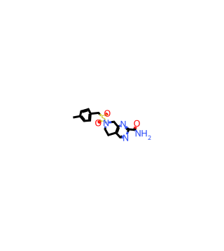 Cc1ccc(CS(=O)(=O)N2CCc3cnc(C(N)=O)nc3C2)cc1